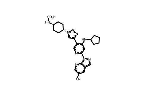 N#Cc1cnc2c(cnn2-c2cc(NC3CCCC3)c(-c3cn([C@H]4CC[C@H](NC(=O)O)CC4)nn3)cn2)c1